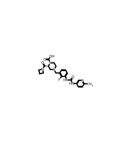 Cc1ccc(NC(=O)Nc2cccc(CN3CCN(C(=O)O)[C@H](C(=O)N4CCC4)C3)c2F)cn1